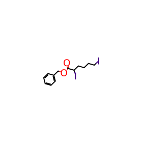 O=C(OCc1ccccc1)C(I)CCCCI